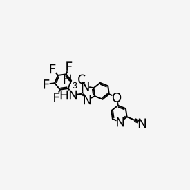 Cn1c(Nc2cc(F)c(F)c(F)c2F)nc2cc(Oc3ccnc(C#N)c3)ccc21